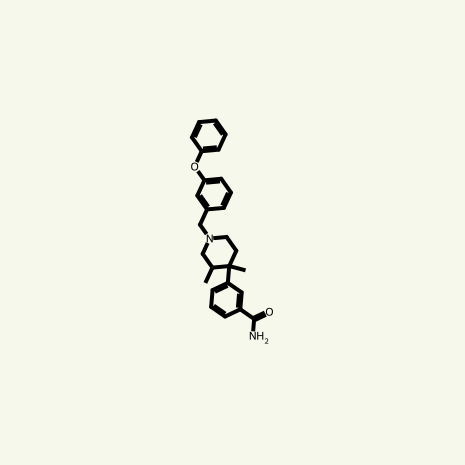 CC1CN(Cc2cccc(Oc3ccccc3)c2)CCC1(C)c1cccc(C(N)=O)c1